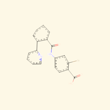 O=C(O)c1ccc(NC(=O)c2ccccc2-c2ccccn2)cc1Br